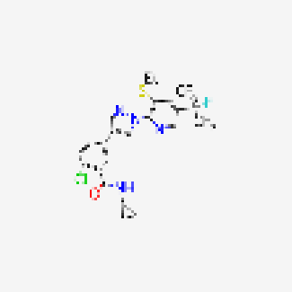 CCSc1cc(C(F)(C(F)(F)F)C(F)(F)F)cnc1-n1cc(-c2ccc(Cl)c(C(=O)NC3CC3)c2)cn1